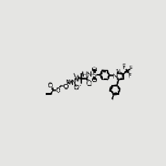 CCC(=O)OCO/N=[N+](\[O-])N(C)C(C)(C)C(=O)NS(=O)(=O)c1ccc(-n2nc(C(F)(F)F)cc2-c2ccc(C)cc2)cc1